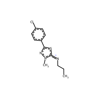 CCC/N=c1/sc(-c2ccc(Cl)cc2)nn1C